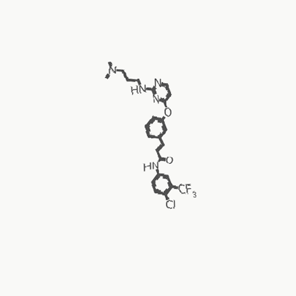 CN(C)CCCNc1nccc(Oc2cccc(C=CC(=O)Nc3ccc(Cl)c(C(F)(F)F)c3)c2)n1